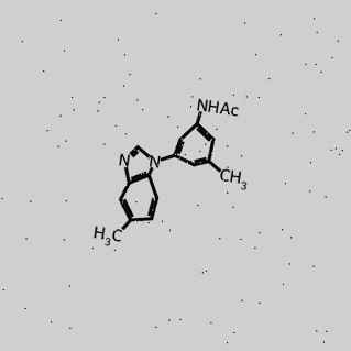 CC(=O)Nc1cc(C)cc(-n2cnc3cc(C)ccc32)c1